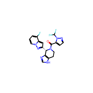 O=C(c1ccnn1C(F)F)N1CCc2[nH]cnc2[C@@H]1c1cc2c(F)cccn2n1